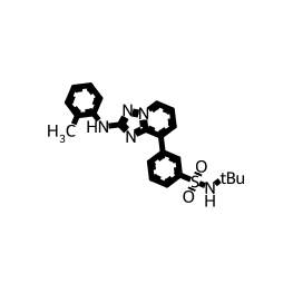 Cc1ccccc1Nc1nc2c(-c3cccc(S(=O)(=O)NC(C)(C)C)c3)cccn2n1